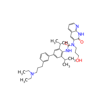 CCN(CC)CCCc1cccc(-c2cc(C(C)C)c(NC(=O)N(CCCO)c3cc4cccnc4[nH]c3=O)c(C(C)C)c2)c1